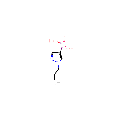 CCCn1cc(P(=O)(O)O)cn1